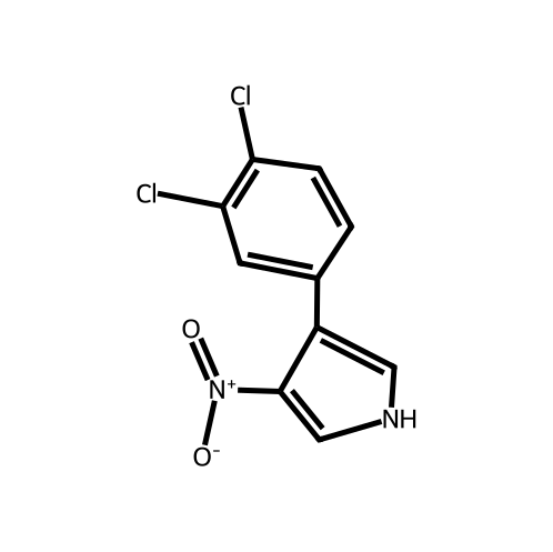 O=[N+]([O-])c1c[nH]cc1-c1ccc(Cl)c(Cl)c1